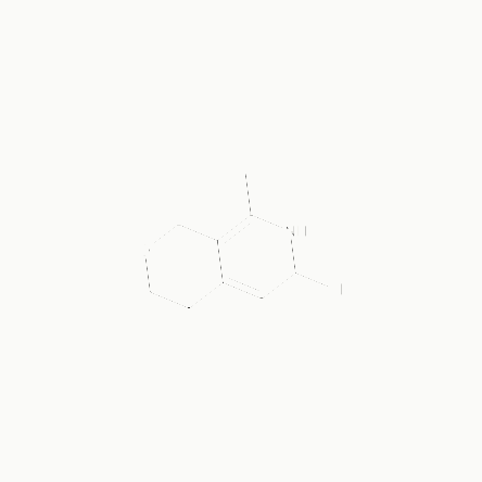 CC1=C2COCCC2=CC(Cl)N1